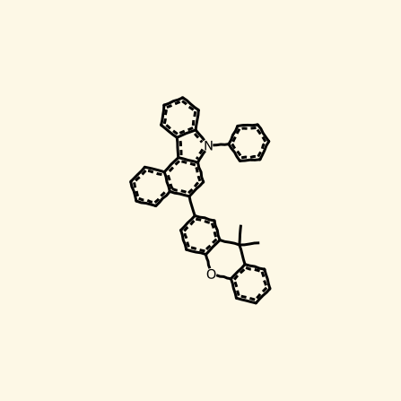 CC1(C)c2ccccc2Oc2ccc(-c3cc4c(c5ccccc35)c3ccccc3n4-c3ccccc3)cc21